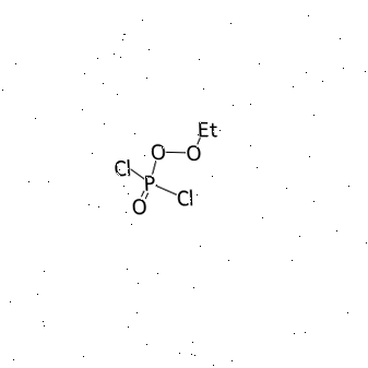 CCOOP(=O)(Cl)Cl